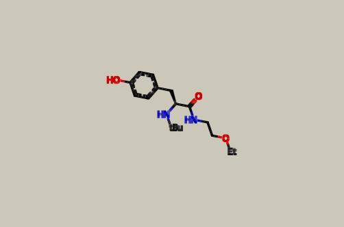 CCOCCNC(=O)[C@H](Cc1ccc(O)cc1)NC(C)(C)C